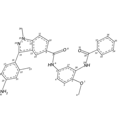 COc1ccc(NC(=O)c2ccc3c(c2)c(-c2ccc(N)cc2C)nn3C)cc1NC(=O)c1ccccc1